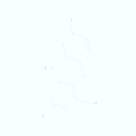 N.Oc1cc(Cl)ccc1Oc1ccc(Cl)cc1Cl